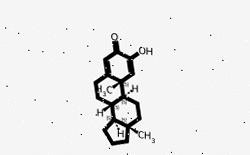 C[C@@]12CCC[C@H]1[C@@H]1CCC3=CC(=O)C(O)=C[C@]3(C)[C@H]1CC2